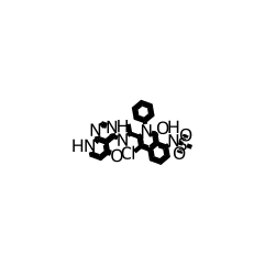 CC(Nc1ncnc2[nH]ccc(=O)c12)c1c(Cl)c2cccc(NS(C)(=O)=O)c2c(=O)n1-c1ccccc1